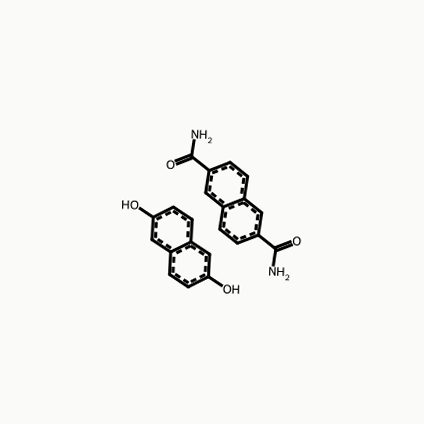 NC(=O)c1ccc2cc(C(N)=O)ccc2c1.Oc1ccc2cc(O)ccc2c1